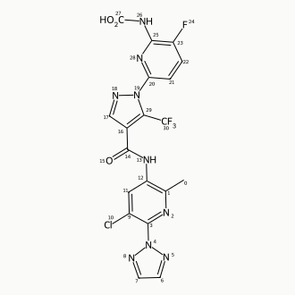 Cc1nc(-n2nccn2)c(Cl)cc1NC(=O)c1cnn(-c2ccc(F)c(NC(=O)O)n2)c1C(F)(F)F